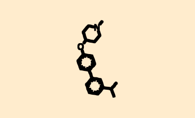 CC(C)c1cccc(-c2ccc(OC3CCN(C)CC3)cc2)c1